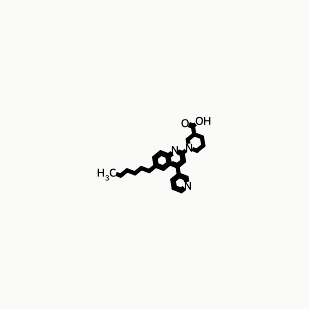 CCCCCCc1ccc2nc(N3CCCC(C(=O)O)C3)cc(-c3cccnc3)c2c1